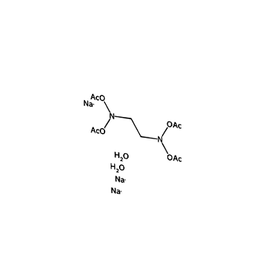 CC(=O)ON(CCN(OC(C)=O)OC(C)=O)OC(C)=O.O.O.[Na].[Na].[Na]